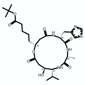 CC(C)[C@H]1NC(=O)[C@@H](C)NC(=O)[C@@H](Cc2cscn2)NC(=O)C[C@@H](CCCCC(=O)OC(C)(C)C)OC(=O)C[C@@H]1O